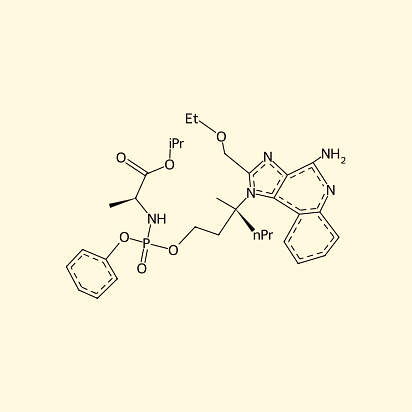 CCC[C@](C)(CCOP(=O)(N[C@@H](C)C(=O)OC(C)C)Oc1ccccc1)n1c(COCC)nc2c(N)nc3ccccc3c21